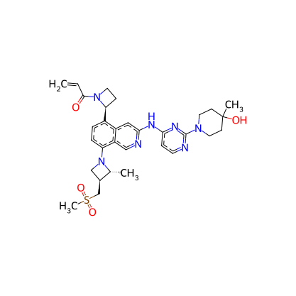 C=CC(=O)N1CC[C@H]1c1ccc(N2C[C@H](CS(C)(=O)=O)[C@H]2C)c2cnc(Nc3ccnc(N4CCC(C)(O)CC4)n3)cc12